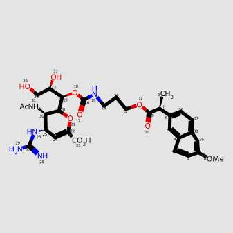 COc1ccc2cc([C@H](C)C(=O)OCCCNC(=O)O[C@@H](C3OC(C(=O)O)=C[C@H](NC(=N)N)[C@H]3NC(C)=O)[C@H](O)CO)ccc2c1